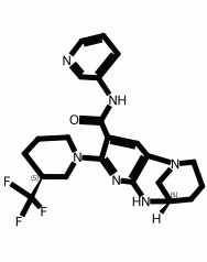 O=C(Nc1cccnc1)c1cc2c(nc1N1CCC[C@H](C(F)(F)F)C1)N[C@H]1CCCN2C1